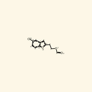 O=[C]OCCc1cc2cc(Cl)ccc2o1